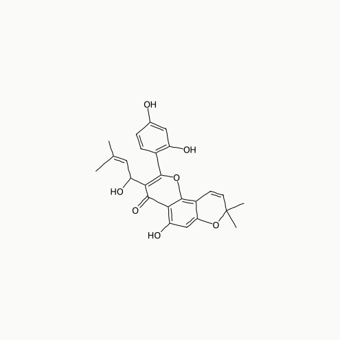 CC(C)=CC(O)c1c(-c2ccc(O)cc2O)oc2c3c(cc(O)c2c1=O)OC(C)(C)C=C3